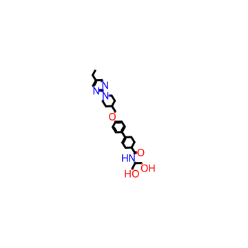 CCc1cnc(N2CCC(COc3ccc(C4=CCC(C(=O)NC(CO)CO)CC4)cc3)CC2)nc1